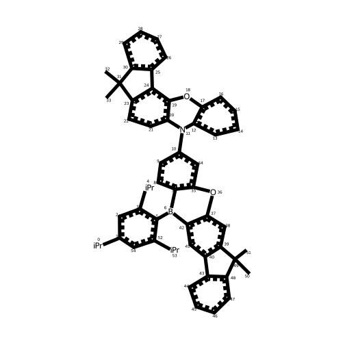 CC(C)c1cc(C(C)C)c(B2c3ccc(N4c5ccccc5Oc5c4ccc4c5-c5ccccc5C4(C)C)cc3Oc3cc4c(cc32)-c2ccccc2C4(C)C)c(C(C)C)c1